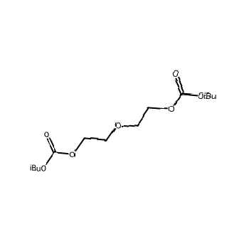 CC(C)COC(=O)OCCOCCOC(=O)OCC(C)C